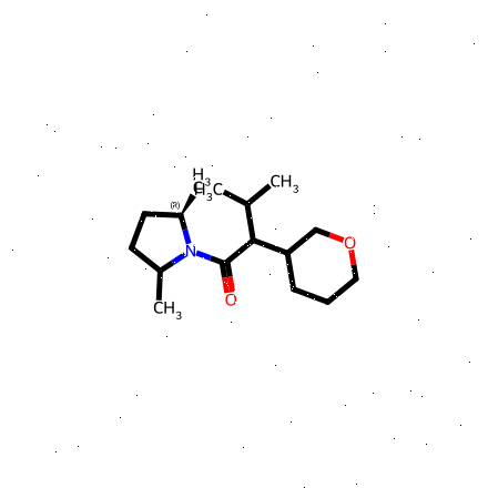 CC(C)C(C(=O)N1C(C)CC[C@H]1C)C1CCCOC1